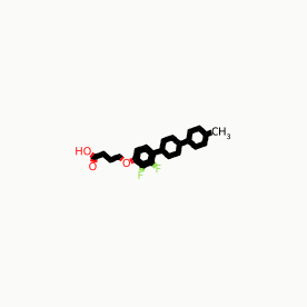 CC1CCC(C2CCC(c3ccc(OCCCC(=O)O)c(F)c3F)CC2)CC1